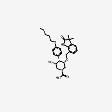 COCCCOc1ccc([C@H]2[C@H](O)CN(C(=O)O)C[C@@H]2OCc2cccc3c2NC(=O)C3(C)C)cc1